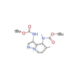 Cc1ccn2ncc(NC(=O)OC(C)(C)C)c2c1N(C)C(=O)OC(C)(C)C